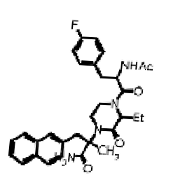 CCC1C(=O)N(C(C)(Cc2ccc3ccccc3c2)C(N)=O)CCN1C(=O)C(Cc1ccc(F)cc1)NC(C)=O